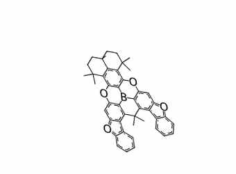 CC1(C)CCC2(C)CCC(C)(C)c3c4c5c(c1c32)Oc1cc2oc3ccccc3c2c2c1B5c1c(cc3oc5ccccc5c3c1C2(C)C)O4